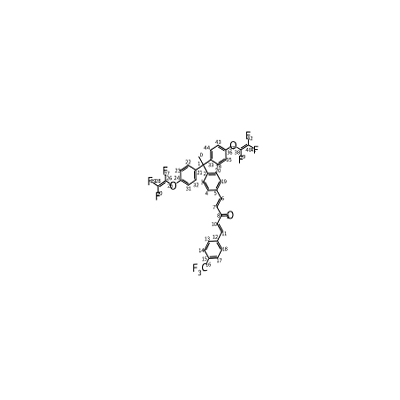 CC(c1ccc(C=CC(=O)C=Cc2ccc(C(F)(F)F)cc2)cc1)(c1ccc(OC(F)=C(F)F)cc1)c1ccc(OC(F)=C(F)F)cc1